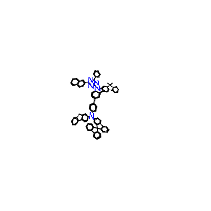 CC1(C)c2ccccc2-c2cc3c4cc(-c5ccc(N(c6ccc7c(c6)Cc6ccccc6-7)c6ccc7c(c6)C6(c8ccccc8-c8ccccc86)c6ccccc6-7)cc5)ccc4n(-c4nc(-c5ccccc5)nc(-c5ccc6ccccc6c5)n4)c3cc21